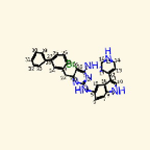 Nc1nc(Nc2ccc3[nH]cc(C4=CCNCC4)c3c2)nc(Cc2cccc(-c3ccccc3)c2)c1Br